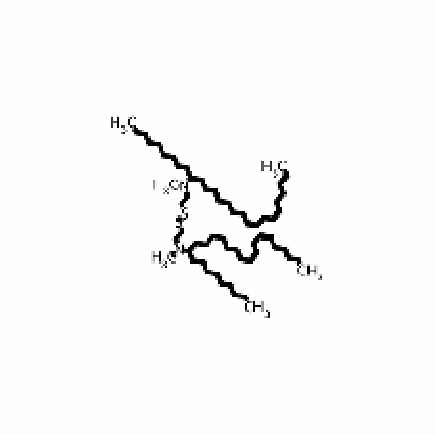 CCCCC/C=C\C/C=C\CCCCCCCC(CCCCCCCCC)N(C)CCSSCCN(C)C(CCCCCCC/C=C\C/C=C\CCCCC)CCCCCCCCC